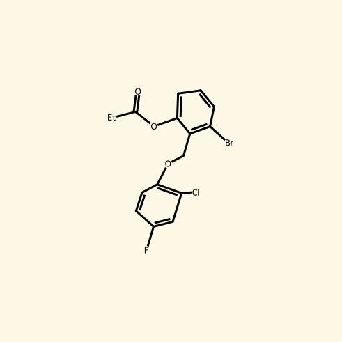 CCC(=O)Oc1cccc(Br)c1COc1ccc(F)cc1Cl